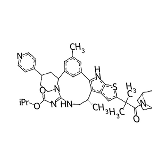 Cc1cc2cc(c1)C1CC(c3ccncc3)CCN1/C(=N\C(=O)OC(C)C)NC[C@@H](C)c1c-2[nH]c2sc(C(C)(C)C(=O)N3C4CCC3CC4)cc12